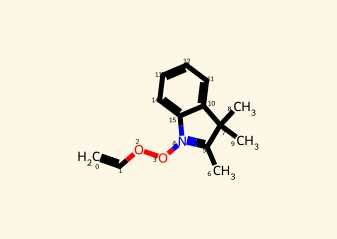 C=COO[N+]1=C(C)C(C)(C)c2ccccc21